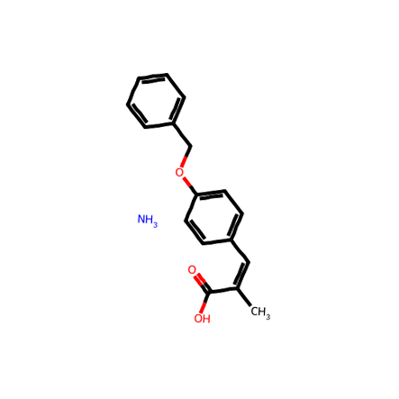 CC(=Cc1ccc(OCc2ccccc2)cc1)C(=O)O.N